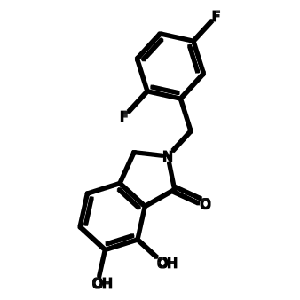 O=C1c2c(ccc(O)c2O)CN1Cc1cc(F)ccc1F